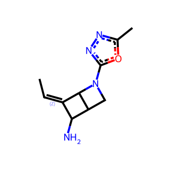 C/C=C1/C(N)C2CN(c3nnc(C)o3)C12